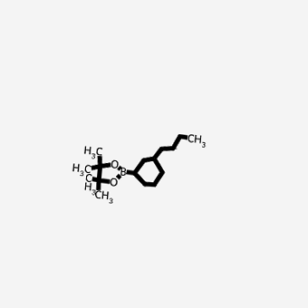 CC[CH]CC1CCCC(B2OC(C)(C)C(C)(C)O2)C1